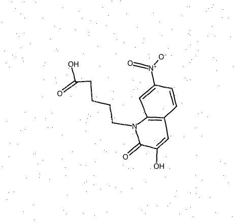 O=C(O)CCCCn1c(=O)c(O)cc2ccc([N+](=O)[O-])cc21